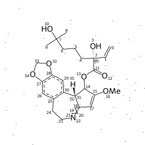 C=C[C@](O)(CCCC(C)(C)O)C(=O)OC1C(OC)=CC23CCCN2CCc2cc4c(cc2[C@H]13)OCO4